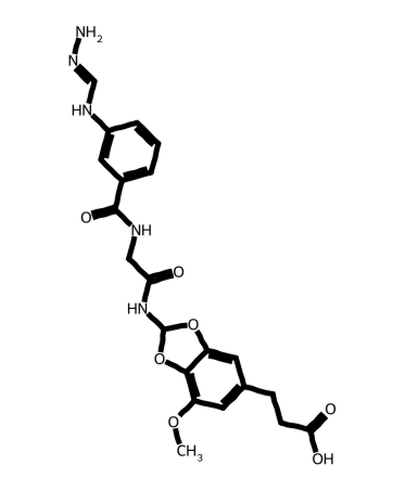 COc1cc(CCC(=O)O)cc2c1OC(NC(=O)CNC(=O)c1cccc(NC=NN)c1)O2